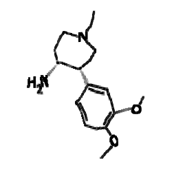 COc1ccc([C@H]2CN(C)CC[C@H]2N)cc1OC